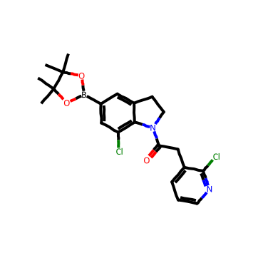 CC1(C)OB(c2cc(Cl)c3c(c2)CCN3C(=O)Cc2cccnc2Cl)OC1(C)C